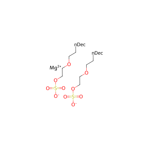 CCCCCCCCCCCCOCCOS(=O)(=O)[O-].CCCCCCCCCCCCOCCOS(=O)(=O)[O-].[Mg+2]